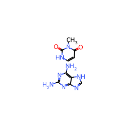 Cn1c(=O)cc[nH]c1=O.Nc1nc(N)c2[nH]cnc2n1